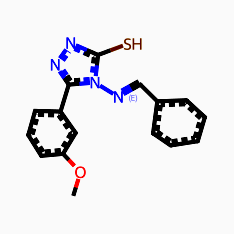 COc1cccc(-c2nnc(S)n2/N=C/c2ccccc2)c1